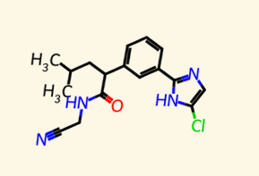 CC(C)CC(C(=O)NCC#N)c1cccc(-c2ncc(Cl)[nH]2)c1